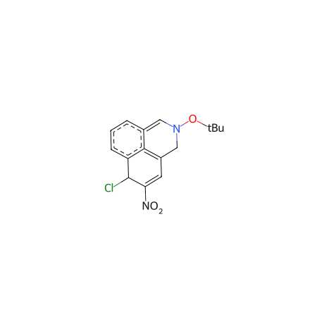 CC(C)(C)ON1C=c2cccc3c2=C(C=C([N+](=O)[O-])C3Cl)C1